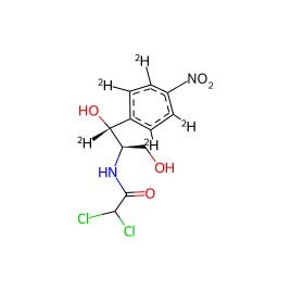 [2H]c1c([2H])c([C@@]([2H])(O)[C@@H](CO)NC(=O)C(Cl)Cl)c([2H])c([2H])c1[N+](=O)[O-]